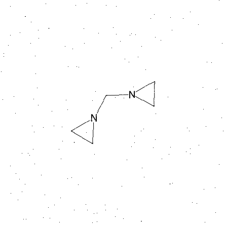 C1CN1CN1CC1